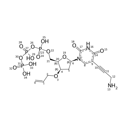 C=CCO[C@@H]1C[C@H](n2cc(C#CCN)c(=O)[nH]c2=O)O[C@@H]1COP(=O)(O)OP(=O)(O)OP(=O)(O)O